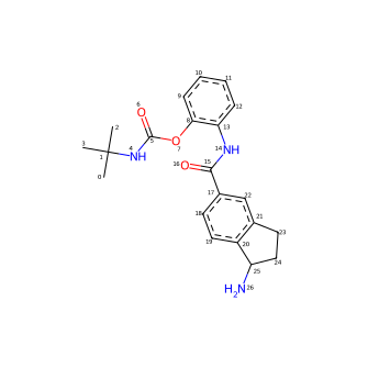 CC(C)(C)NC(=O)Oc1ccccc1NC(=O)c1ccc2c(c1)CCC2N